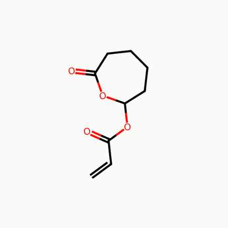 C=CC(=O)OC1CCCCC(=O)O1